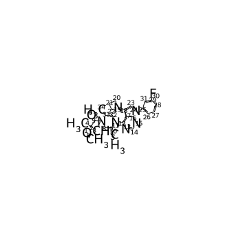 COC(C)(C)C(=O)N1C[C@H](C)N(c2ncnc3c2c(N2CCC2)cn3-c2cccc(F)c2)C[C@H]1C